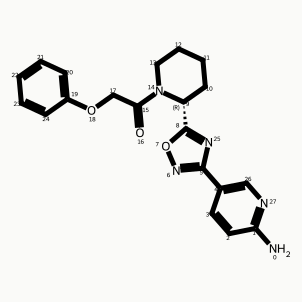 Nc1ccc(-c2noc([C@H]3CCCCN3C(=O)COc3ccccc3)n2)cn1